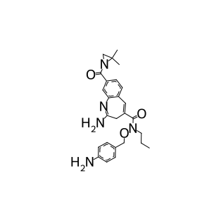 CCCN(OCc1ccc(N)cc1)C(=O)C1=Cc2ccc(C(=O)N3CC3(C)C)cc2N=C(N)C1